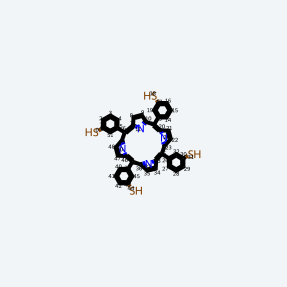 Sc1cccc(C2=C3C=CC(=N3)C(c3cccc(S)c3)=C3C=CC(=N3)C(c3cccc(S)c3)=C3C=CC(=N3)C(c3cccc(S)c3)=C3C=CC2=N3)c1